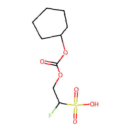 O=C(OCC(F)S(=O)(=O)O)OC1CCCCC1